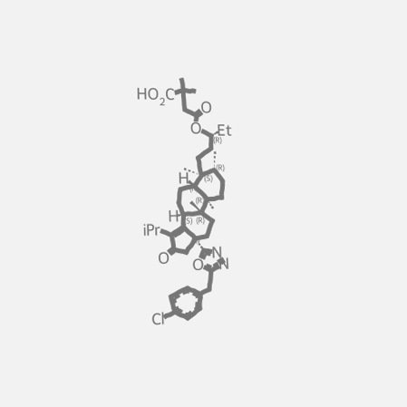 CC[C@H](CC[C@@]1(C)[C@H](C)CC[C@]2(C)[C@@H]1CC[C@@H]1C3=C(C(C)C)C(=O)C[C@]3(c3nnc(Cc4ccc(Cl)cc4)o3)CC[C@]12C)OC(=O)CC(C)(C)C(=O)O